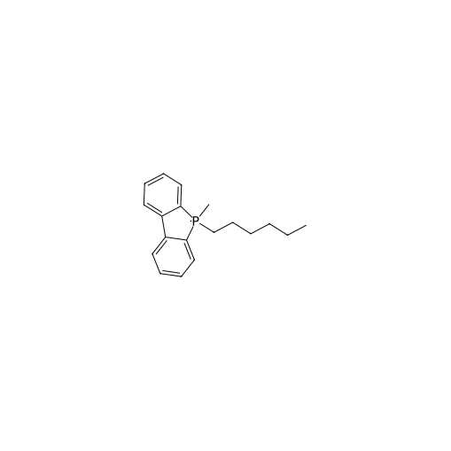 CCCCCC[P]1(C)c2ccccc2-c2ccccc21